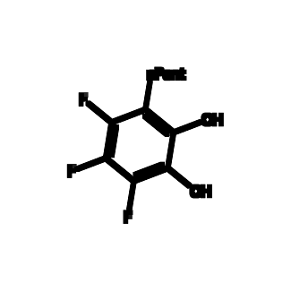 CCCCCc1c(O)c(O)c(F)c(F)c1F